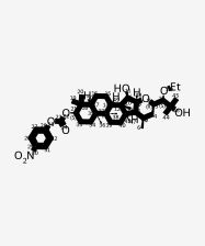 CCO[C@@H]([C@H]1C[C@@H](C)[C@H]2[C@H](O1)[C@H](O)[C@@]1(C)[C@@H]3CC[C@H]4C(C)(C)[C@@H](OC(=O)Oc5ccc([N+](=O)[O-])cc5)CC[C@]4(C)[C@]3(C)CC[C@]21C)C(C)(C)O